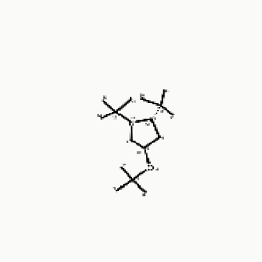 CC(C)(C)O[C@@H]1C[C@@H](C(C)(C)C)N(C(C)(C)C)C1